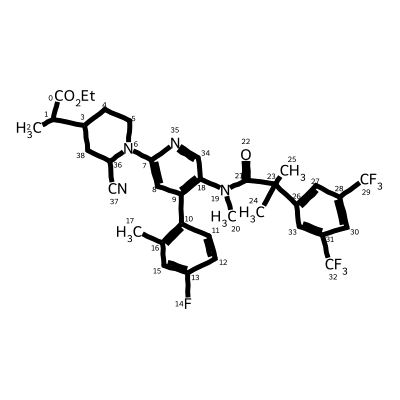 CCOC(=O)C(C)C1CCN(c2cc(-c3ccc(F)cc3C)c(N(C)C(=O)C(C)(C)c3cc(C(F)(F)F)cc(C(F)(F)F)c3)cn2)C(C#N)C1